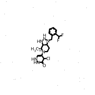 C[C@H]1C2NNN(Cc3ccccc3C(F)F)C2CCN1C1=CNNC(=O)C1Cl